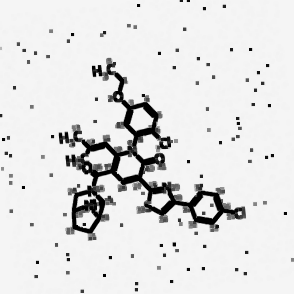 CCOc1ccc(Cl)c(-n2c(C=C(C)C)c(C(=O)N3CC4CCC(C3)N4)cc(-c3nc(-c4ccc(Cl)cc4)cs3)c2=O)c1